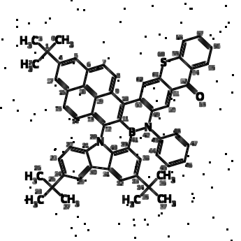 CC(C)(C)c1cc2ccc3c4c5c(c6ccc(c1)c2c36)-n1c2ccc(C(C)(C)C)cc2c2cc(C(C)(C)C)cc(c21)B5N(c1ccccc1)c1cc2c(=O)c3ccccc3sc2cc1-4